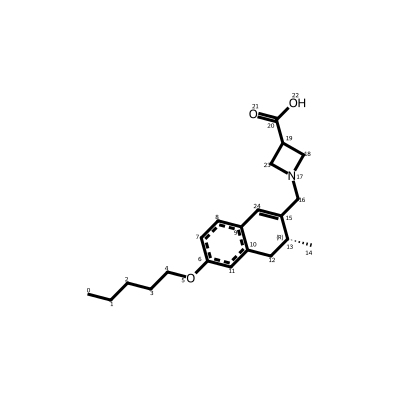 CCCCCOc1ccc2c(c1)C[C@@H](C)C(CN1CC(C(=O)O)C1)=C2